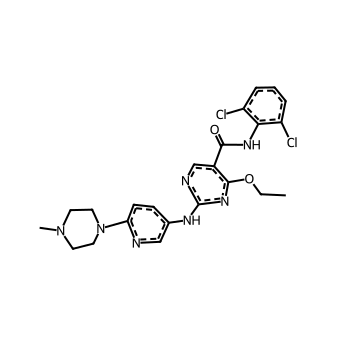 CCOc1nc(Nc2ccc(N3CCN(C)CC3)nc2)ncc1C(=O)Nc1c(Cl)cccc1Cl